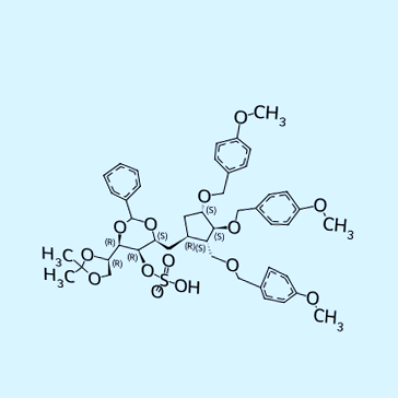 COc1ccc(COC[C@@H]2[C@@H](C[C@@H]3OC(c4ccccc4)O[C@H]([C@H]4COC(C)(C)O4)[C@@H]3OS(=O)(=O)O)C[C@H](OCc3ccc(OC)cc3)[C@H]2OCc2ccc(OC)cc2)cc1